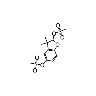 CC1(C)c2cc(OS(C)(=O)=O)ccc2OC1OS(C)(=O)=O